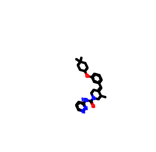 CC1CN(C(=O)Nc2cccnn2)CCC1=Cc1cccc(OC2CCC(C)(C)CC2)c1